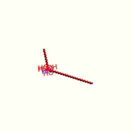 CCCCCCCCCCCCCCCCCCCCCCCCCCCCCCCCCC(O)C(=O)N[C@H](CO)[C@H](O)C(O)CCCCCCCCCCCCCC